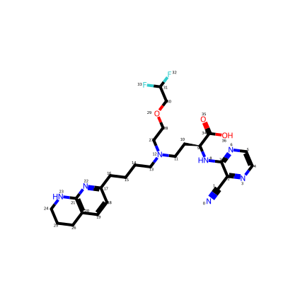 N#Cc1nccnc1N[C@@H](CCN(CCCCc1ccc2c(n1)NCCC2)CCOCC(F)F)C(=O)O